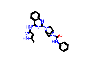 Cc1cc(Nc2nc(N3CC4CC3CN4C(=O)Nc3ccccc3)nc3ccccc23)n[nH]1